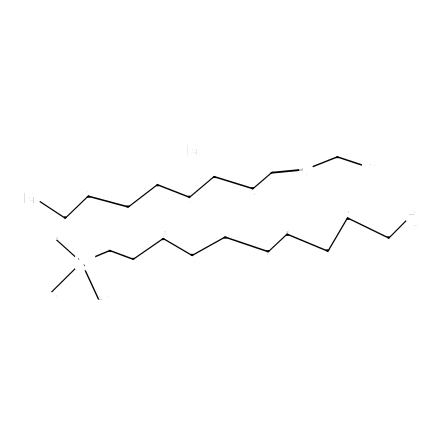 BrCCCCCCCCCCBr.C[N+](C)(C)CCCCCCCCCCBr.[Br-]